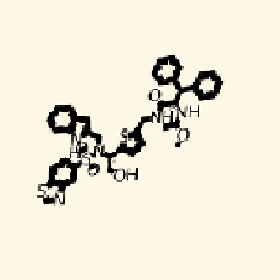 C=C(N[C@H](C(=O)NCc1ccc([C@@H](CO)N(Cc2cc3ccccc3[nH]2)S(=O)(=O)c2ccc3scnc3c2)s1)C(c1ccccc1)c1ccccc1)OC